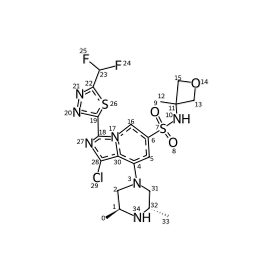 C[C@H]1CN(c2cc(S(=O)(=O)NC3(C)COC3)cn3c(-c4nnc(C(F)F)s4)nc(Cl)c23)C[C@H](C)N1